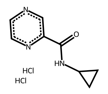 Cl.Cl.O=C(NC1CC1)c1cnccn1